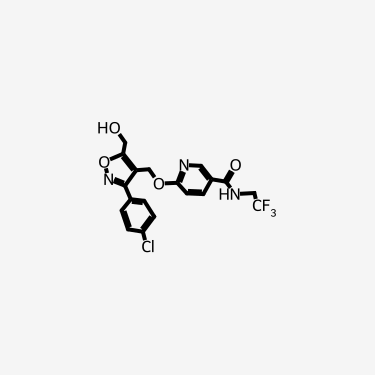 O=C(NCC(F)(F)F)c1ccc(OCc2c(-c3ccc(Cl)cc3)noc2CO)nc1